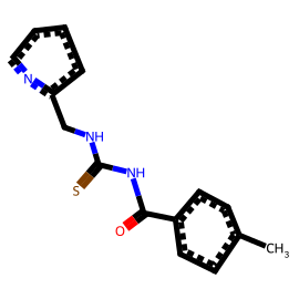 Cc1ccc(C(=O)NC(=S)NCc2ccccn2)cc1